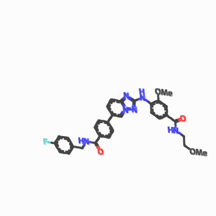 COCCNC(=O)c1ccc(Nc2nc3ccc(-c4ccc(C(=O)NCc5ccc(F)cc5)cc4)cn3n2)c(OC)c1